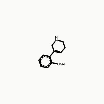 COc1ccccc1C1=CCCNC1